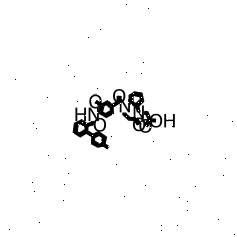 COc1cc(C(=O)N2CCC(=O)N(CC(=O)O)c3ccccc32)ccc1NC(=O)c1ccccc1-c1ccc(C)cc1